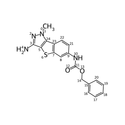 Cn1nc(N)c2sc3cc(NC(=O)OCc4ccccc4)ccc3c21